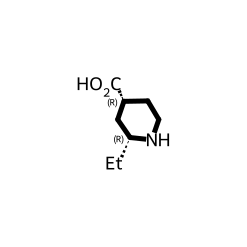 CC[C@@H]1C[C@H](C(=O)O)CCN1